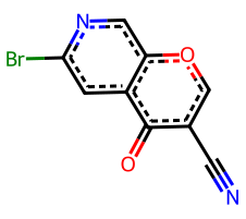 N#Cc1coc2cnc(Br)cc2c1=O